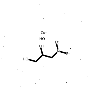 CCN(CC)CC(O)CO.[Cu+].[OH-]